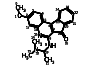 COc1ccc2c3c(c(NC(C)N(C)C)nc2c1)C(=O)c1ccccc1-3